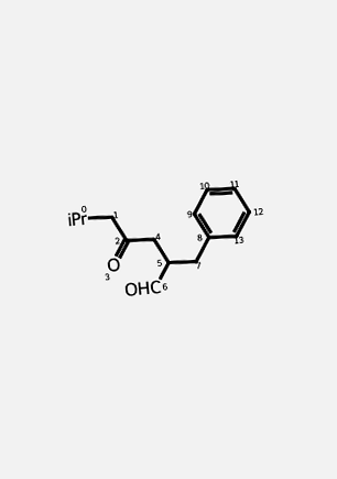 CC(C)CC(=O)CC(C=O)Cc1ccccc1